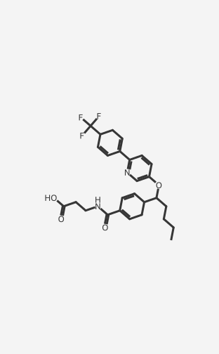 CCCCC(Oc1ccc(C2=CCC(C(F)(F)F)C=C2)nc1)C1C=CC(C(=O)NCCC(=O)O)=CC1